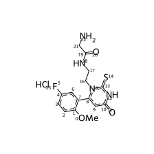 COc1ccc(F)cc1-c1cc(=O)[nH]c(=S)n1CCNC(=O)CN.Cl